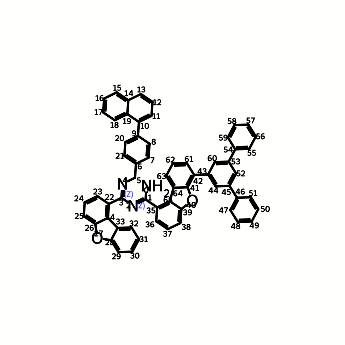 N/C(=N\C(=N/Cc1ccc(-c2cccc3ccccc23)cc1)c1cccc2oc3ccccc3c12)c1cccc2oc3c(-c4cc(-c5ccccc5)cc(-c5ccccc5)c4)cccc3c12